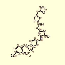 NC(=O)CN1CC[C@@H](NCC2=NC(=O)/C(=C/c3ccc4c(cnn4Cc4ccc(Cl)cc4C(F)(F)F)c3)S2)C1